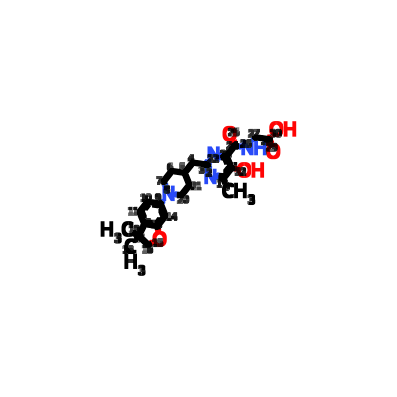 Cc1nc(CC2CCN(c3ccc4c(c3)OCC4(C)C)CC2)nc(C(=O)NCC(=O)O)c1O